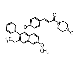 CCc1cc2cc(OC)ccc2c(Oc2ccc(C=CC(=O)N3CCN(C)CC3)cc2)c1-c1ccccc1